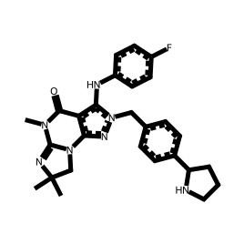 CN1C(=O)c2c(nn(Cc3ccc(C4CCCN4)cc3)c2Nc2ccc(F)cc2)N2CC(C)(C)N=C12